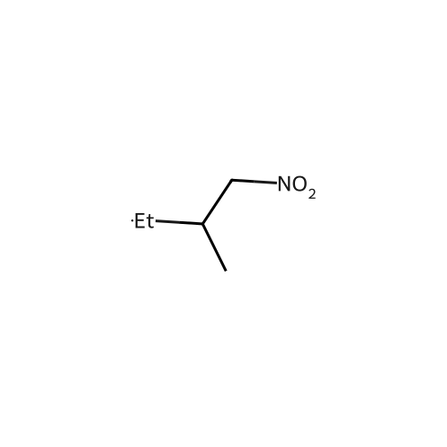 C[CH]C(C)C[N+](=O)[O-]